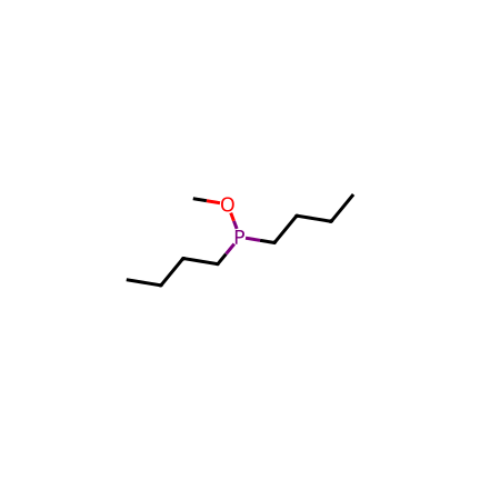 CCCCP(CCCC)OC